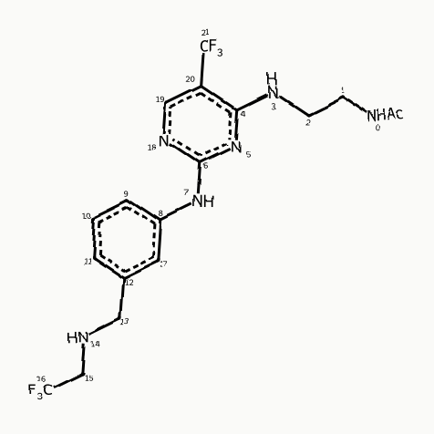 CC(=O)NCCNc1nc(Nc2cccc(CNCC(F)(F)F)c2)ncc1C(F)(F)F